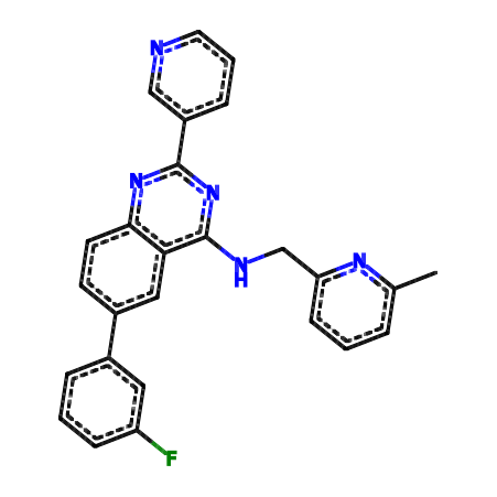 Cc1cccc(CNc2nc(-c3cccnc3)nc3ccc(-c4cccc(F)c4)cc23)n1